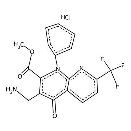 COC(=O)c1c(CN)c(=O)c2ccc(C(F)(F)F)nc2n1-c1ccccc1.Cl